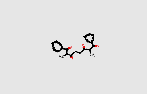 CC(C(=O)CCC(=O)C(C)C(=O)c1ccccc1)C(=O)c1ccccc1